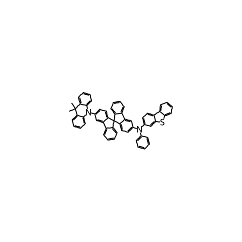 CC1(C)c2ccccc2N(c2ccc3c(c2)-c2ccccc2C32c3ccccc3-c3cc(N(c4ccccc4)c4ccc5c(c4)sc4ccccc45)ccc32)c2ccccc21